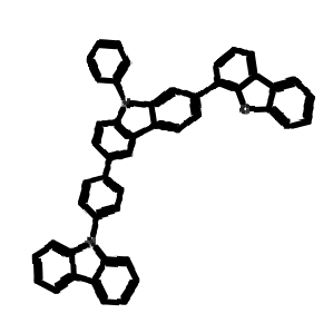 c1ccc(-n2c3ccc(-c4ccc(-n5c6ccccc6c6ccccc65)cc4)cc3c3ccc(-c4cccc5c4oc4ccccc45)cc32)cc1